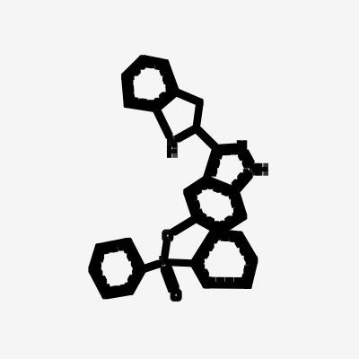 O=P(Oc1ccc2[nH]nc(C3Cc4ccccc4N3)c2c1)(c1ccccc1)c1ccccc1